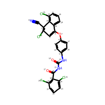 N#Cc1c(Cl)cc(Oc2ccc(NC(=O)NC(=O)c3c(F)cccc3Cl)cc2)c2cccc(Cl)c12